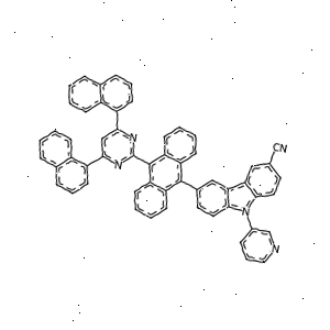 N#Cc1ccc2c(c1)c1cc(-c3c4ccccc4c(-c4nc(-c5cccc6ccccc56)cc(-c5cccc6ccccc56)n4)c4ccccc34)ccc1n2-c1cccnc1